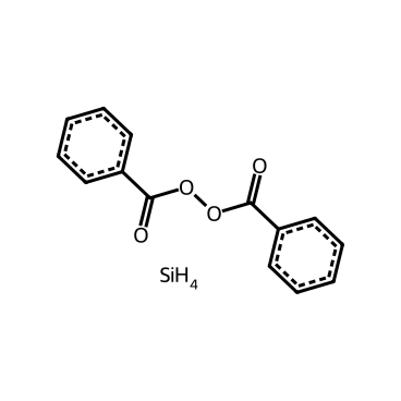 O=C(OOC(=O)c1ccccc1)c1ccccc1.[SiH4]